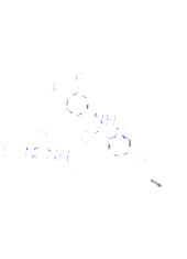 CC#CCOc1ccc(C(=O)Nc2cc(F)c(F)c(CCO/C(N)=N\CF)c2)nc1